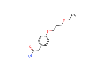 CCOCCCOc1ccc(CC(N)=O)cc1